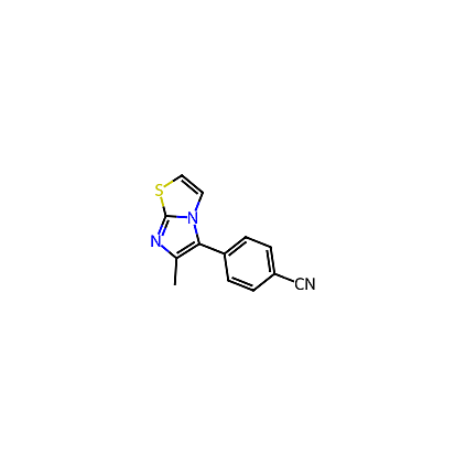 Cc1nc2sccn2c1-c1ccc(C#N)cc1